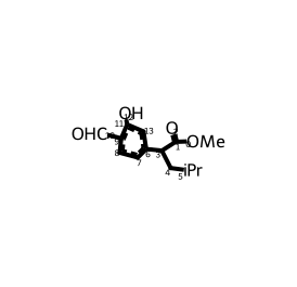 COC(=O)C(CC(C)C)c1ccc(C=O)c(O)c1